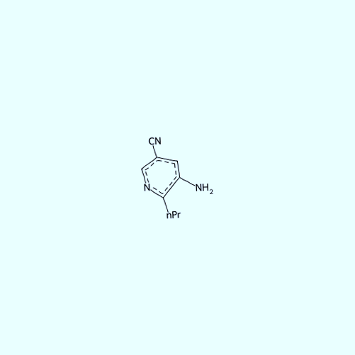 CCCc1ncc(C#N)cc1N